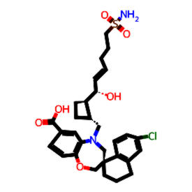 NS(=O)(=O)CCC/C=C/[C@H](O)[C@@H]1CC[C@H]1CN1C[C@@]2(CCCc3cc(Cl)ccc32)COc2ccc(C(=O)O)cc21